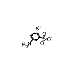 Nc1cccc(S(=O)(=O)[O-])c1.[K+]